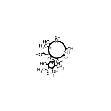 CO[C@@H]1[C@@H](O[C@@H]2OC(C)[C@@H](O)C(N(C)C)C2O)[C@@H](CCO)C[C@@H](C)[C@@H](O)CN(C)CCCC(C)NC(=O)C[C@H]1O